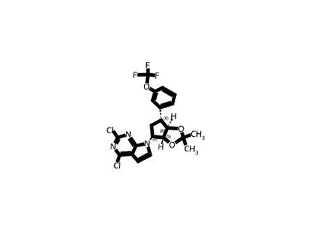 CC1(C)O[C@@H]2[C@H](O1)[C@@H](c1cccc(OC(F)(F)F)c1)C[C@H]2n1ccc2c(Cl)nc(Cl)nc21